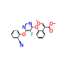 CO/C=C(/C(=O)OC)c1ccccc1Oc1ncnc(Oc2ccccc2C#N)c1F